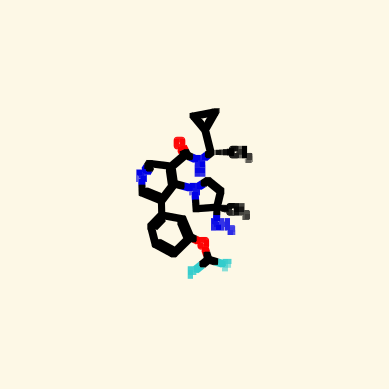 C[C@H](NC(=O)c1cncc(-c2cccc(OC(F)F)c2)c1N1CC[C@](C)(N)C1)C1CC1